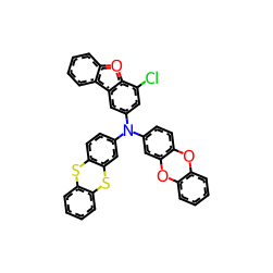 Clc1cc(N(c2ccc3c(c2)Oc2ccccc2O3)c2ccc3c(c2)Sc2ccccc2S3)cc2c1oc1ccccc12